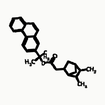 CC1C2CC(CC(=O)OC(C)(C)c3ccc4c(ccc5ccccc54)c3)C(C2)C1C